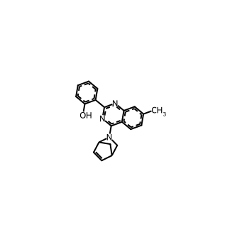 Cc1ccc2c(N3CC4C=CC3C4)nc(-c3ccccc3O)nc2c1